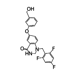 O=C1NCN(Cc2c(F)cc(F)cc2F)c2ccc(Oc3cccc(CO)c3)cc21